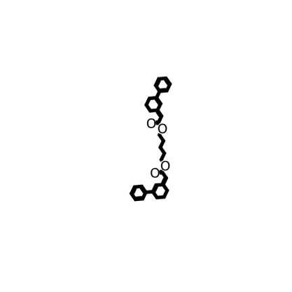 O=C(C=C1C=C(c2ccccc2)CCC1)OCCCCCOC(=O)C=C1C=C(c2ccccc2)CCC1